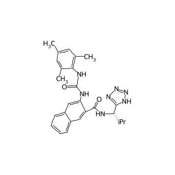 Cc1cc(C)c(NC(=O)Nc2cc3ccccc3cc2C(=O)N[C@H](c2nnn[nH]2)C(C)C)c(C)c1